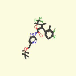 Cc1c(C2C(C(=O)Nc3ccc(CO[Si](C)(C)C(C)(C)C)nc3)OC(C)(C(F)(F)F)C2C)ccc(F)c1F